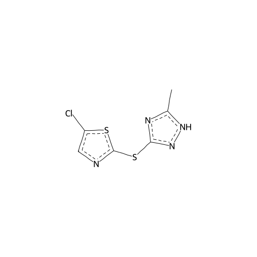 Cc1nc(Sc2ncc(Cl)s2)n[nH]1